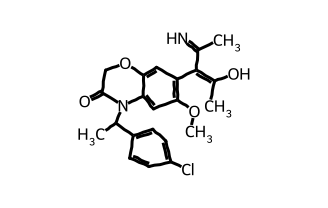 COc1cc2c(cc1/C(C(C)=N)=C(\C)O)OCC(=O)N2C(C)c1ccc(Cl)cc1